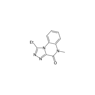 CCc1nnc2c(=O)n(C)c3ccccc3n12